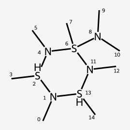 CN1[SH](C)N(C)S(C)(N(C)C)N(C)[SH]1C